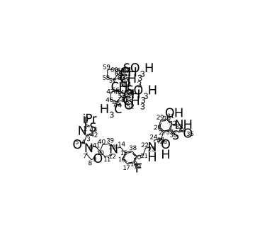 CC(C)c1nc(C(=O)N2CCOC3(CCN(Cc4ccc(F)c(CCNC[C@H](O)c5ccc(O)c6[nH]c(=O)sc56)c4)CC3)C2)cs1.CC12CCC(C(S(=O)(=O)O)C1=O)C2(C)C.CC12CCC(C(S(=O)(=O)O)C1=O)C2(C)C